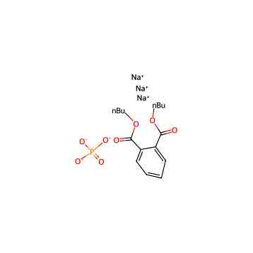 CCCCOC(=O)c1ccccc1C(=O)OCCCC.O=P([O-])([O-])[O-].[Na+].[Na+].[Na+]